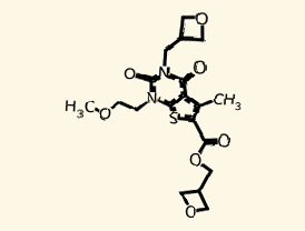 COCCn1c(=O)n(CC2COC2)c(=O)c2c(C)c(C(=O)OCC3COC3)sc21